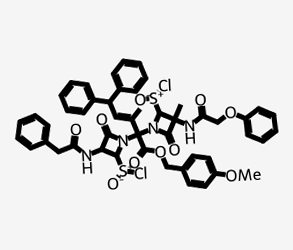 COc1ccc(COC(=O)C(C(C)=CC(c2ccccc2)c2ccccc2)(N2C(=O)C(NC(=O)Cc3ccccc3)C2[S+]([O-])Cl)N2C(=O)C(C)(NC(=O)COc3ccccc3)C2[S+]([O-])Cl)cc1